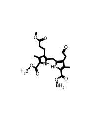 BOC(=O)c1[nH]c(Cc2[nH]c(C(=O)OB)c(C)c2CCC(=O)OC)c(CC=O)c1C